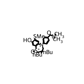 CCCCC1(CCCC)CN(c2ccc(C(=O)N(C)C)cc2)c2cc(SC)c(O)cc2[S+]([O-])C1